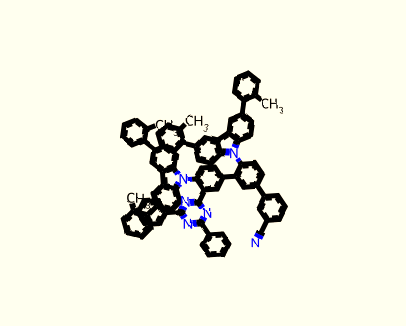 Cc1ccccc1-c1ccc2c(c1)c1cc(-c3ccccc3C)ccc1n2-c1ccc(-c2cccc(C#N)c2)cc1-c1ccc(-n2c3ccc(-c4ccccc4C)cc3c3cc(-c4ccccc4C)ccc32)c(-c2nc(-c3ccccc3)nc(-c3ccccc3)n2)c1